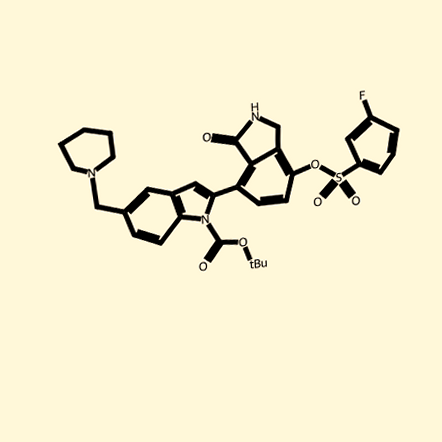 CC(C)(C)OC(=O)n1c(-c2ccc(OS(=O)(=O)c3cccc(F)c3)c3c2C(=O)NC3)cc2cc(CN3CCCCC3)ccc21